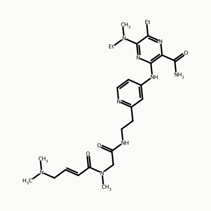 CCc1nc(C(N)=O)c(Nc2ccnc(CCNC(=O)CN(C)C(=O)C=CCN(C)C)c2)nc1N(C)CC